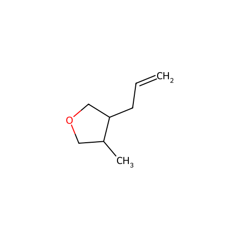 C=CCC1COCC1C